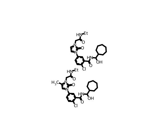 CCNC(=O)Cn1c(C)cn(-c2ccc(Cl)c(C(=O)NC(O)C3CCCCCC3)c2)c1=O.CCNC(=O)Cn1ccn(-c2ccc(Cl)c(C(=O)NC(O)C3CCCCCC3)c2)c1=O